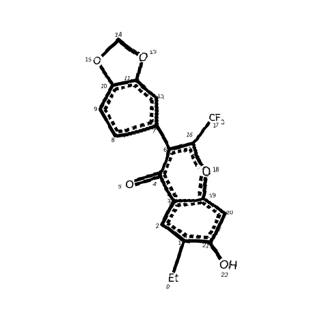 CCc1cc2c(=O)c(-c3ccc4c(c3)OCO4)c(C(F)(F)F)oc2cc1O